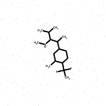 CNC(C(C)C)C(C)C1CCC(C(C)(F)F)C(C)C1